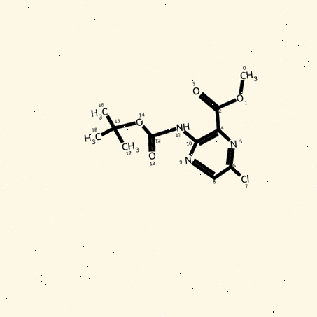 COC(=O)c1nc(Cl)cnc1NC(=O)OC(C)(C)C